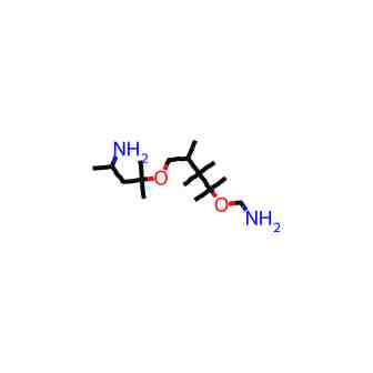 CC(N)CC(C)(C)OCC(C)C(C)(C)C(C)(C)OCN